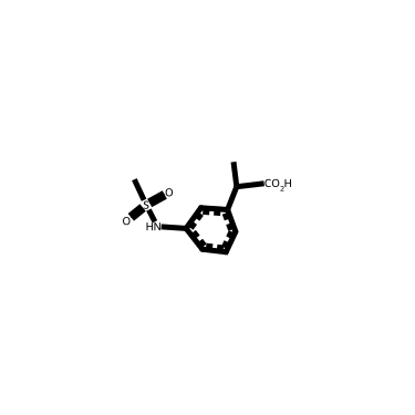 CC(C(=O)O)c1cccc(NS(C)(=O)=O)c1